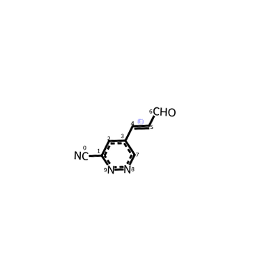 N#Cc1cc(/C=C/C=O)cnn1